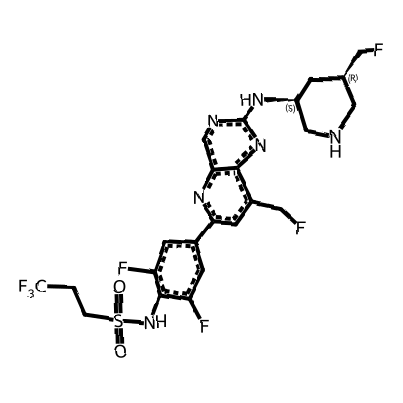 O=S(=O)(CCC(F)(F)F)Nc1c(F)cc(-c2cc(CF)c3nc(N[C@@H]4CNC[C@H](CF)C4)ncc3n2)cc1F